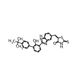 CC(C)(C)c1ccc(-c2cccc(-c3nc4cc(C=C5SC(=S)NC5=O)ccc4[nH]3)c2O)cc1